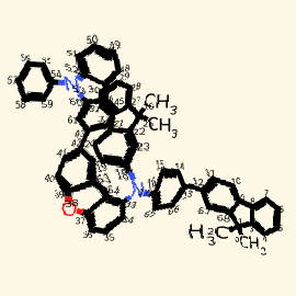 CC1(C)c2ccccc2-c2ccc(-c3ccc(N(c4ccc5c(c4)C(C)(C)c4ccccc4-5)c4cccc5oc6ccc(-c7ccc8c9ccccc9n(-c9ccccc9)c8c7)cc6c45)cc3)cc21